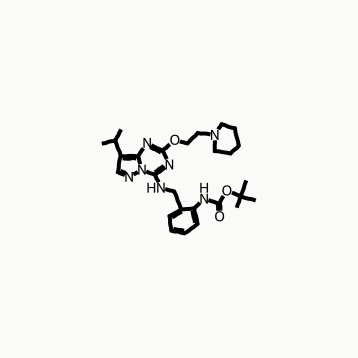 CC(C)c1cnn2c(NCc3ccccc3NC(=O)OC(C)(C)C)nc(OCCN3CCCCC3)nc12